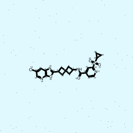 O=C(NC1CC2(C1)CC(c1nc3cc(Cl)cnc3o1)C2)c1ccnc(S(=O)(=O)C2CC2)c1